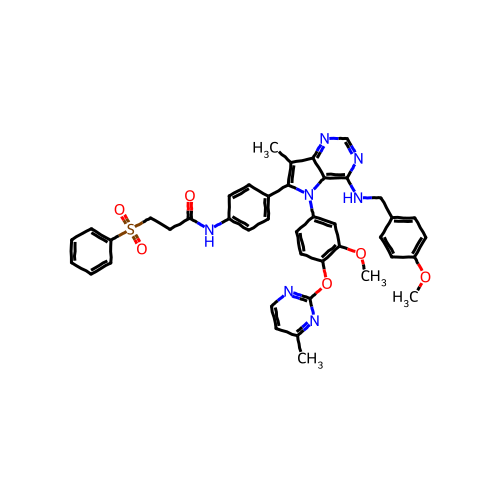 COc1ccc(CNc2ncnc3c(C)c(-c4ccc(NC(=O)CCS(=O)(=O)c5ccccc5)cc4)n(-c4ccc(Oc5nccc(C)n5)c(OC)c4)c23)cc1